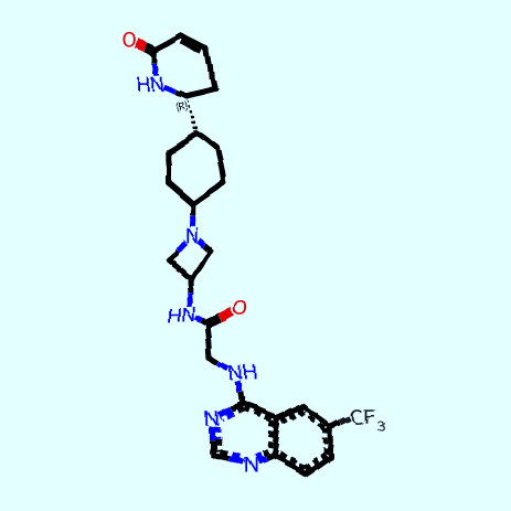 O=C1C=CC[C@H](C2CCC(N3CC(NC(=O)CNc4ncnc5ccc(C(F)(F)F)cc45)C3)CC2)N1